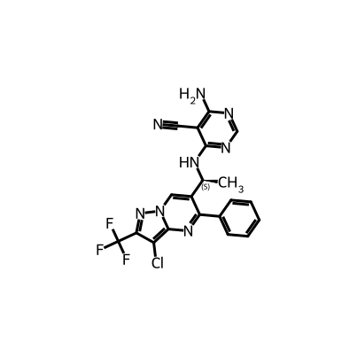 C[C@H](Nc1ncnc(N)c1C#N)c1cn2nc(C(F)(F)F)c(Cl)c2nc1-c1ccccc1